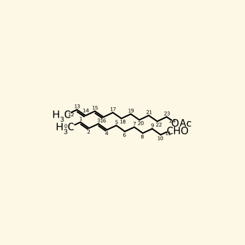 C/C=C/C=C/CCCCCCC=O.C/C=C/C=C/CCCCCCCOC(C)=O